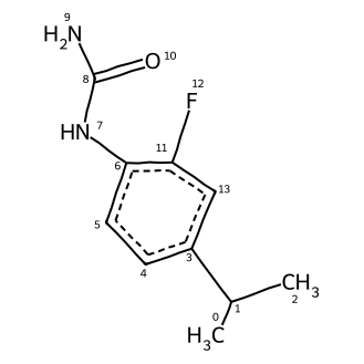 CC(C)c1ccc(NC(N)=O)c(F)c1